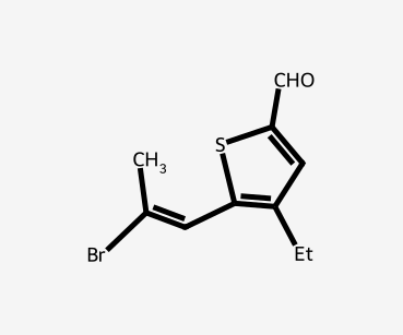 CCc1cc(C=O)sc1/C=C(\C)Br